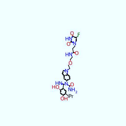 CC(C)c1cc(C(=N)N(C(N)=O)c2ccc3c(ccn3CCOCCNC(=O)CCn3cc(F)c(=O)[nH]c3=O)c2)c(O)cc1O